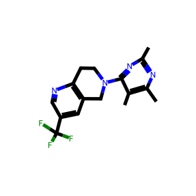 Cc1nc(C)c(C)c(N2CCc3ncc(C(F)(F)F)cc3C2)n1